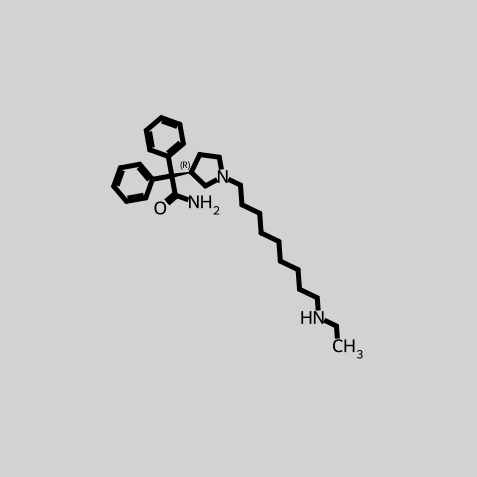 CCNCCCCCCCCCN1CC[C@H](C(C(N)=O)(c2ccccc2)c2ccccc2)C1